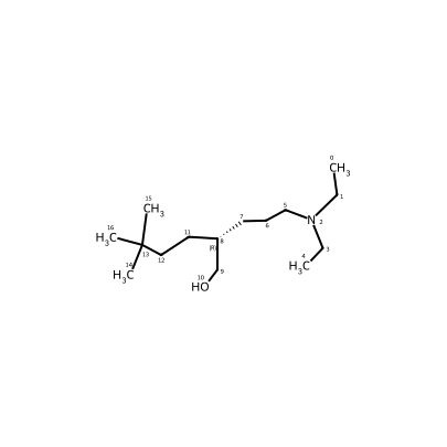 CCN(CC)CCC[C@H](CO)CCC(C)(C)C